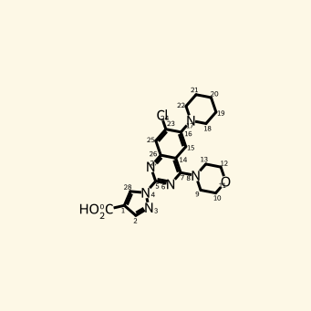 O=C(O)c1cnn(-c2nc(N3CCOCC3)c3cc(N4CCCCC4)c(Cl)cc3n2)c1